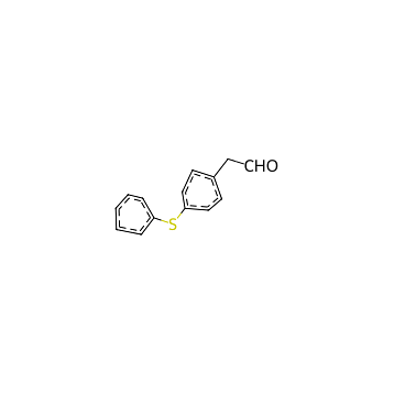 O=CCc1ccc(Sc2ccccc2)cc1